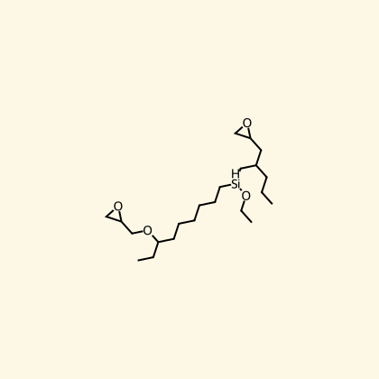 CCCC(CC1CO1)C[SiH](CCCCCCC(CC)OCC1CO1)OCC